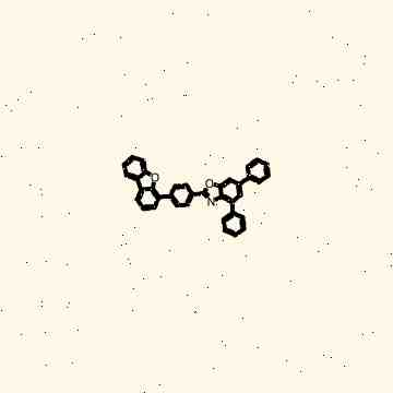 c1ccc(-c2cc(-c3ccccc3)c3nc(-c4ccc(-c5cccc6c5oc5ccccc56)cc4)oc3c2)cc1